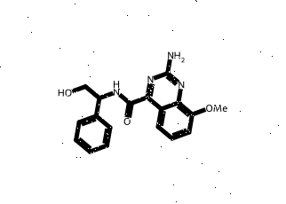 COc1cccc2c(C(=O)NC(CO)c3ccccc3)nc(N)nc12